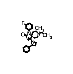 CCN1CC[C@@]2(C[C@@H]1C)C(N1CCC1c1ccccc1)=NC(=O)N2c1cccc(F)c1